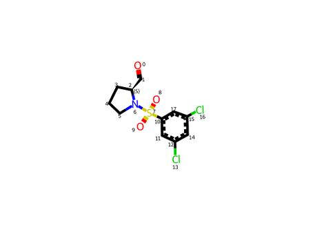 O=C[C@@H]1[CH]CCN1S(=O)(=O)c1cc(Cl)cc(Cl)c1